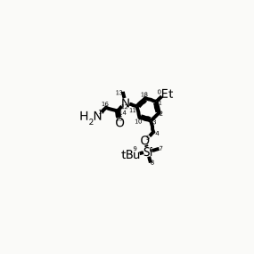 CCc1cc(CO[Si](C)(C)C(C)(C)C)cc(N(C)C(=O)CN)c1